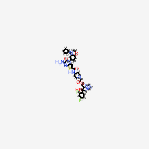 Nc1nc2sc(C(=O)NC3CCN(CC(=O)OCCC(O)(Cn4cncn4)c4ccc(F)cc4F)CC3)cc2n(-c2ccc3c(c2)N(c2ccccc2)CCO3)c1=O